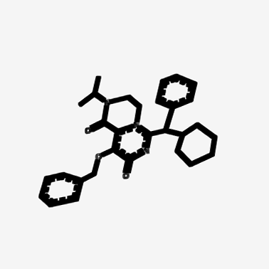 CC(C)N1CCn2c(C(c3ccccc3)C3CCCCC3)nc(=O)c(OCc3ccccc3)c2C1=O